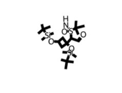 CC(C)(C)[Si](C)(C)OC1CC(O[Si](C)(C)C(C)(C)C)(C(C=O)S2(C(C)(C)C)NO2)C1